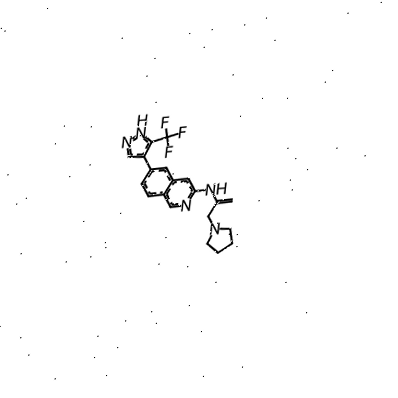 C=C(CN1CCCC1)Nc1cc2cc(-c3cn[nH]c3C(F)(F)F)ccc2cn1